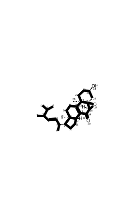 CC(C)C(C)/C=C/C(C)[C@H]1CC[C@H]2C3=C(CC[C@]12C)[C@@]1(C)CC[C@H](O)C[C@@]12O[C@H]2C3=O